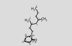 CCCC(C)CC(C)CCn1sccc1=O